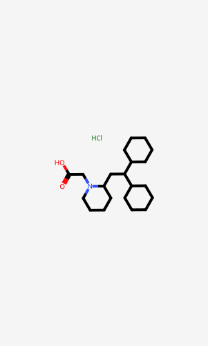 Cl.O=C(O)CN1CCCCC1CC(C1CCCCC1)C1CCCCC1